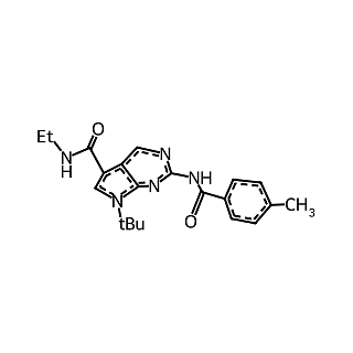 CCNC(=O)c1cn(C(C)(C)C)c2nc(NC(=O)c3ccc(C)cc3)ncc12